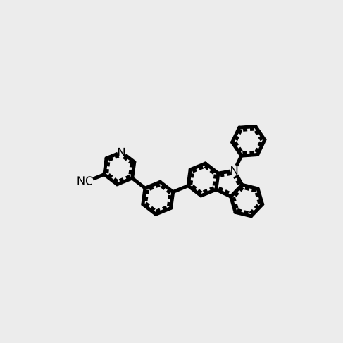 N#Cc1cncc(-c2cccc(-c3ccc4c(c3)c3ccccc3n4-c3ccccc3)c2)c1